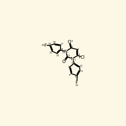 O=c1cc(Cl)n(-c2ccc(F)cc2)c(=O)n1-c1ccc(F)cc1